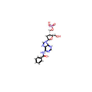 O=C(Nc1ncnc2c1ncn2C1C[C@H](CO[PH](=O)O)[C@@H](CO)O1)c1ccccc1